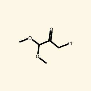 COC(OC)C(=O)CCl